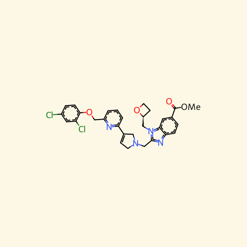 COC(=O)c1ccc2nc(CN3CC=C(c4cccc(COc5ccc(Cl)cc5Cl)n4)C3)n(C[C@@H]3CCO3)c2c1